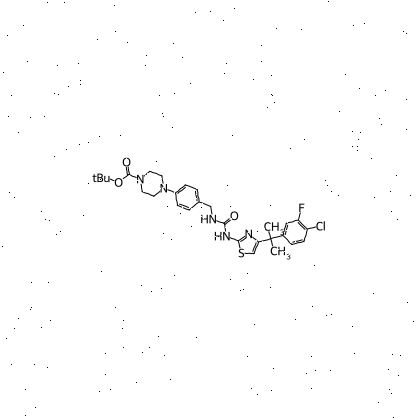 CC(C)(C)OC(=O)N1CCN(c2ccc(CNC(=O)Nc3nc(C(C)(C)c4ccc(Cl)c(F)c4)cs3)cc2)CC1